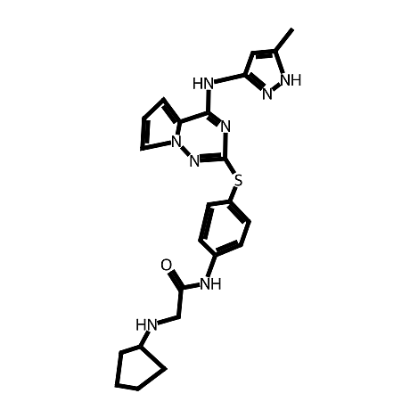 Cc1cc(Nc2nc(Sc3ccc(NC(=O)CNC4CCCC4)cc3)nn3cccc23)n[nH]1